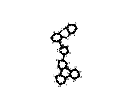 c1ccc2c(c1)Oc1cccc(-c3ccc(-c4ccc5c6ccccc6c6ccccc6c5c4)o3)c1O2